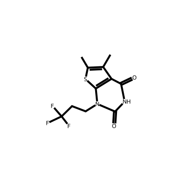 Cc1sc2c(c1C)c(=O)[nH]c(=O)n2CCC(F)(F)F